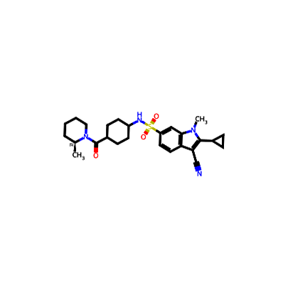 C[C@H]1CCCCN1C(=O)C1CCC(NS(=O)(=O)c2ccc3c(C#N)c(C4CC4)n(C)c3c2)CC1